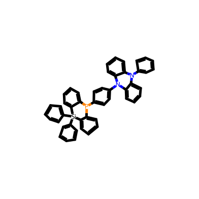 c1ccc(N2c3ccccc3N(c3ccc(P4c5ccccc5[Si](c5ccccc5)(c5ccccc5)c5ccccc54)cc3)c3ccccc32)cc1